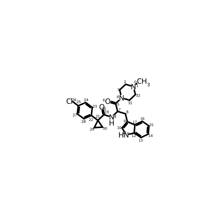 CN1CCN(C(=O)C(Cc2c[nH]c3ccccc23)NC(=O)C2(c3ccc(Cl)cc3)CC2)CC1